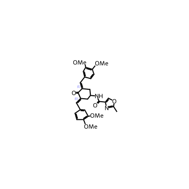 COc1ccc(/C=C2\CC(NC(=O)c3coc(C)n3)C/C(=C\c3ccc(OC)c(OC)c3)C2=O)cc1OC